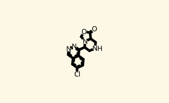 O=C1OCN2C1CNCC2c1nncc2cc(Cl)ccc12